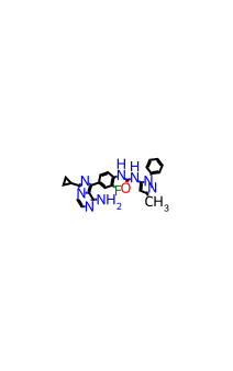 Cc1cc(NC(=O)Nc2ccc(-c3nc(C4CC4)n4ccnc(N)c34)cc2F)n(-c2ccccc2)n1